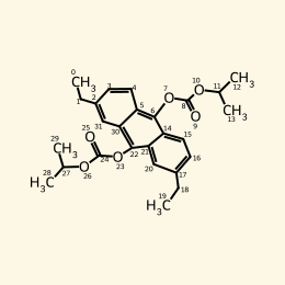 CCc1ccc2c(OC(=O)OC(C)C)c3ccc(CC)cc3c(OC(=O)OC(C)C)c2c1